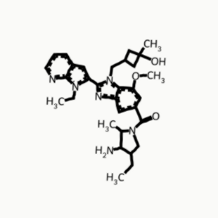 CCC1CN(C(=O)c2cc(OC)c3c(c2)nc(-c2cc4cccnc4n2CC)n3CC2CC(C)(O)C2)C(C)C1N